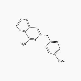 COc1ccc(Cc2cc3ncccc3c(N)n2)cc1